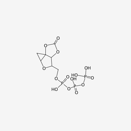 O=C1OC2C(COP(=O)(O)OP(=O)(O)OP(=O)(O)O)OC3CC32O1